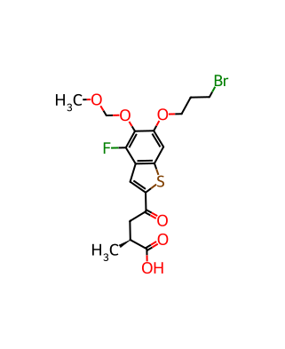 COCOc1c(OCCCBr)cc2sc(C(=O)C[C@H](C)C(=O)O)cc2c1F